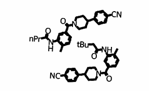 CCCC(=O)Nc1cc(C(=O)N2CCC(c3ccc(C#N)cc3)CC2)ccc1C.Cc1ccc(C(=O)N2CCC(c3ccc(C#N)cc3)CC2)cc1NC(=O)CC(C)(C)C